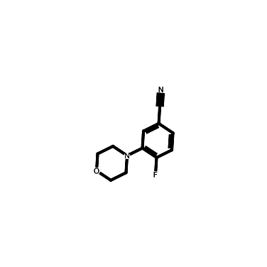 N#Cc1ccc(F)c(N2CCOCC2)c1